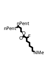 CCCCCC(CCCCC)CCOC(=O)C(F)CCCCCNC